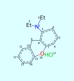 CCN(CC)c1cccc2c1Cc1ccccc1O2.Cl